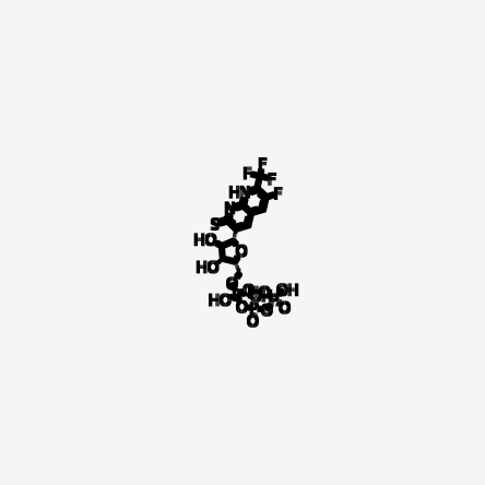 O=P(O)(O)OP(=O)(O)OP(=O)(O)OC[C@H]1O[C@@H](c2cc3cc(F)c(C(F)(F)F)[nH]c-3nc2=S)C(O)[C@H]1O